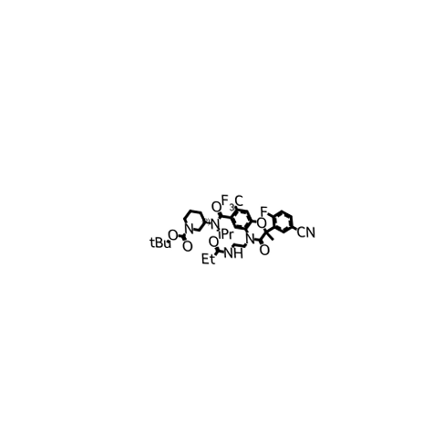 CCC(=O)NCCN1C(=O)C(C)(c2cc(C#N)ccc2F)Oc2cc(C(F)(F)F)c(C(=O)N(C(C)C)[C@@H]3CCCN(C(=O)OC(C)(C)C)C3)cc21